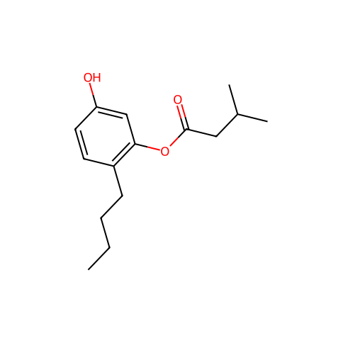 CCCCc1ccc(O)cc1OC(=O)CC(C)C